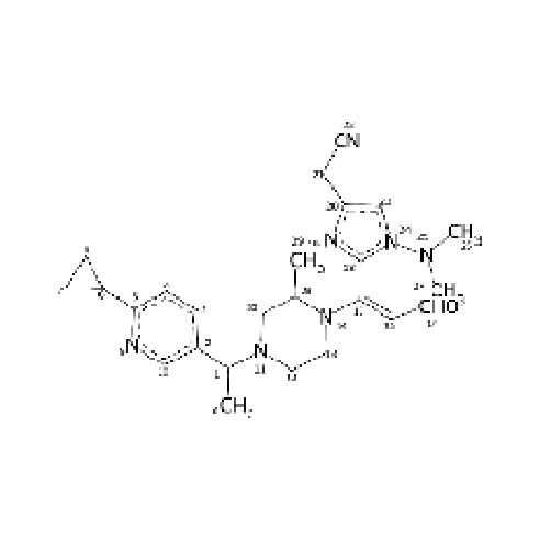 CC(c1ccc(C2CC2)nc1)N1CCN(/C(=C/C=O)c2nc(CC#N)cn2N(C)C)C(C)C1